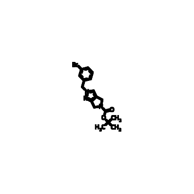 CC(C)(C)OC(=O)N1Cc2cn(Cc3cccc(Br)c3)nc2C1